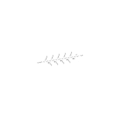 C#CCCCC(=O)NCCN(CCN(CCN(CCN(CCN(CCN(CCN(CCN(CCN(CCN(CCN(CCSCCC(=O)O)C(=O)CC)C(=O)CC)C(=O)CCCC#C)C(=O)CCCC#C)C(=O)CCCC#C)C(=O)CCCC#C)C(=O)CCCC#C)C(=O)CCCC#C)C(=O)CCCC#C)C(=O)CCCC#C)C(=O)CCCC#C